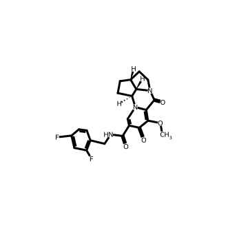 COc1c2n(cc(C(=O)NCc3ccc(F)cc3F)c1=O)[C@H]1CC[C@@H]3CCN(C2=O)[C@@H]31